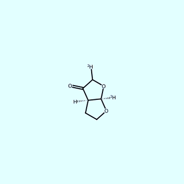 [2H]C1O[C@@]2([2H])OCC[C@H]2C1=O